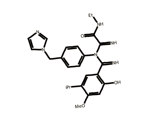 CCNC(=O)C(=N)N(C(=N)c1cc(C(C)C)c(OC)cc1O)c1ccc(Cn2ccnc2)cc1